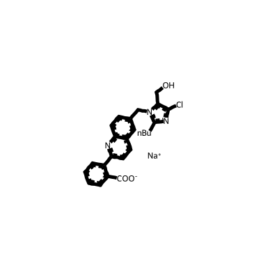 CCCCc1nc(Cl)c(CO)n1Cc1ccc2nc(-c3ccccc3C(=O)[O-])ccc2c1.[Na+]